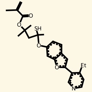 C=C(C)C(=O)OC(C)(C)CC(C)(S)Oc1ccc2cc(-c3cnccc3CC)oc2c1